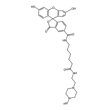 CCCN1CCN(CCNC(=O)CCCCCNC(=O)c2ccc3c(c2)C(=O)OC32c3ccc(O)cc3Oc3cc(O)ccc32)CC1